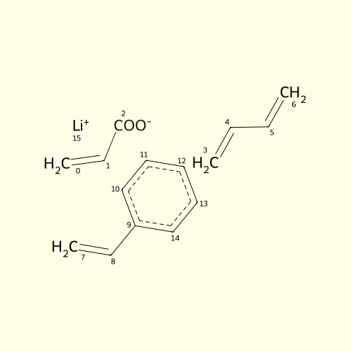 C=CC(=O)[O-].C=CC=C.C=Cc1ccccc1.[Li+]